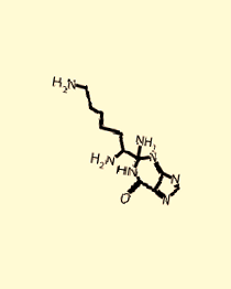 NCCCCCC(N)C1(N)N=C2N=CN=C2C(=O)N1